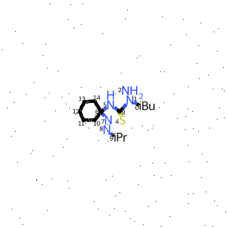 CCC(C)N(N)C(=S)NC1(N=NC(C)C)CCCCC1